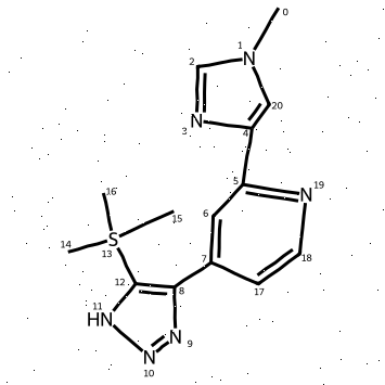 Cn1cnc(-c2cc(-c3nn[nH]c3S(C)(C)C)ccn2)c1